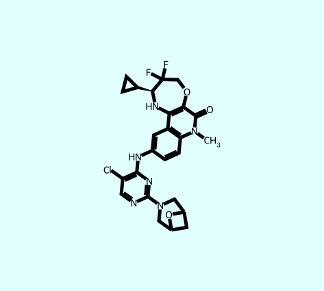 Cn1c(=O)c2c(c3cc(Nc4nc(N5CC6CC(C5)O6)ncc4Cl)ccc31)N[C@@H](C1CC1)C(F)(F)CO2